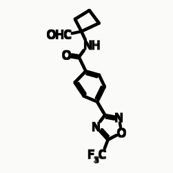 O=CC1(NC(=O)c2ccc(-c3noc(C(F)(F)F)n3)cc2)CCC1